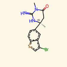 CN1C(=N)N[C@](C)(c2ccc3scc(Br)c3c2)CC1=O